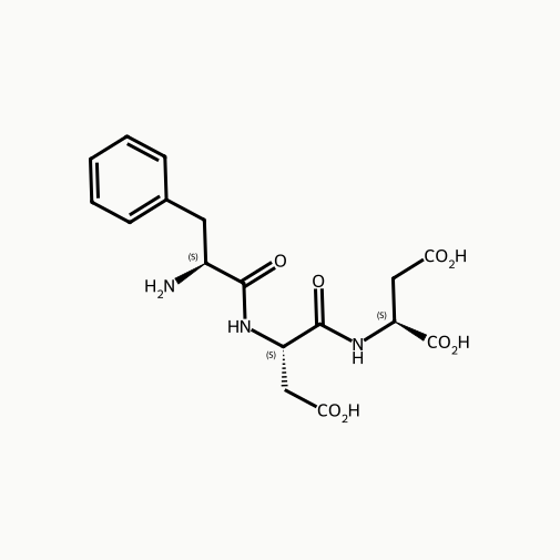 N[C@@H](Cc1ccccc1)C(=O)N[C@@H](CC(=O)O)C(=O)N[C@@H](CC(=O)O)C(=O)O